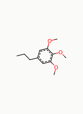 CCCc1cc(OC)c(OC)c(OC)c1